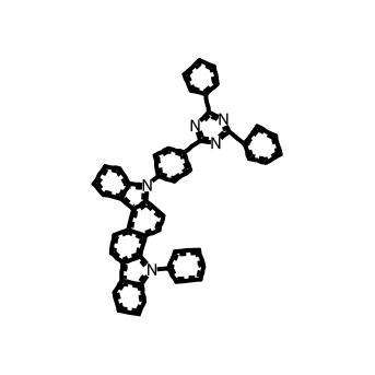 c1ccc(-c2nc(-c3ccccc3)nc(-c3ccc(-n4c5ccccc5c5c6ccc7c8ccccc8n(-c8ccccc8)c7c6ccc54)cc3)n2)cc1